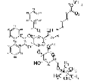 COC(=O)CCCCCCCCO[C@H]1O[C@H](CO[Si](C)(C)C(C)(C)C)C[C@H](O)[C@H]1O[C@H]1O[C@H](CO)[C@@H](OCc2ccccc2)[C@H](OCc2ccccc2)[C@H]1OCc1ccccc1